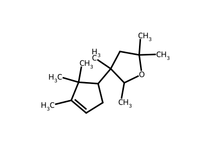 CC1=CCC(C2(C)CC(C)(C)OC2C)C1(C)C